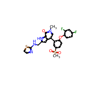 Cn1cc(-c2cc(S(C)(=O)=O)ccc2Oc2ccc(F)cc2F)c2cc(CNc3nccs3)[nH]c2c1=O